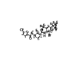 CN(C(=O)c1ccc(Cl)s1)c1cccc(C(=O)Nc2c(Br)cc(C(F)(C(F)(F)F)C(F)(F)F)cc2C(F)(F)F)c1F